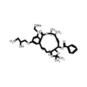 COCOc1cc(OCC(O)CN)cc2c1C(=O)O[C@@H](C)[C@H](C)/C=C\C(OC(=O)c1ccccc1)C1OC(C)(C)O[C@H]1C/C=C/2